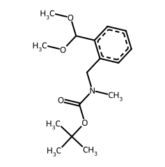 COC(OC)c1ccccc1CN(C)C(=O)OC(C)(C)C